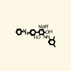 Cc1ccc(N=Nc2c(O)ccc(-c3ccc(/N=N/c4ccccc4)cc3)c2O)c(C)c1.[NaH]